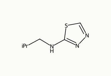 CC(C)CNc1nncs1